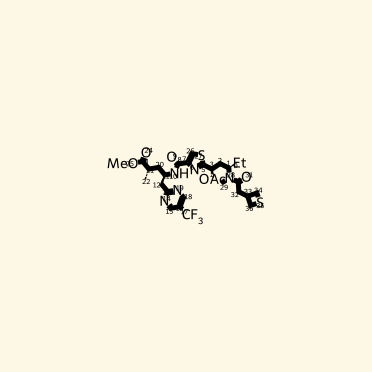 CC[C@@H](C[C@@H](OC(C)=O)c1nc(C(=O)N[C@@H](Cc2ncc(C(F)(F)F)cn2)C[C@H](C)C(=O)OC)cs1)N(C)C(=O)CC1CSC1